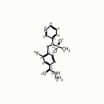 CS(=O)(=O)N(Cc1ccc(C(=O)NN)cc1F)c1cccnc1